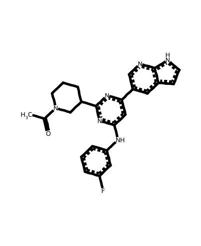 CC(=O)N1CCCC(c2nc(Nc3cccc(F)c3)cc(-c3cnc4[nH]ccc4c3)n2)C1